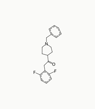 O=C(Cc1c(F)cccc1F)C1CCN(Cc2ccccc2)CC1